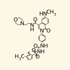 CNc1ccc2c(=O)n(-c3ccc(NC(=O)NS(=O)(=O)c4ccc(C)s4)cc3)cc(C(=O)NCCN3CCOCC3)c2c1